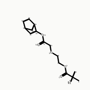 CCC(C)(C)C(=O)OCCOCC(=O)OC1CC2CCC1C2